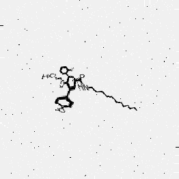 CCCCCCCCCCCCNC(=O)c1cc(-c2ccc(OC)cc2)c(OCCO)c(-c2ccccc2F)c1